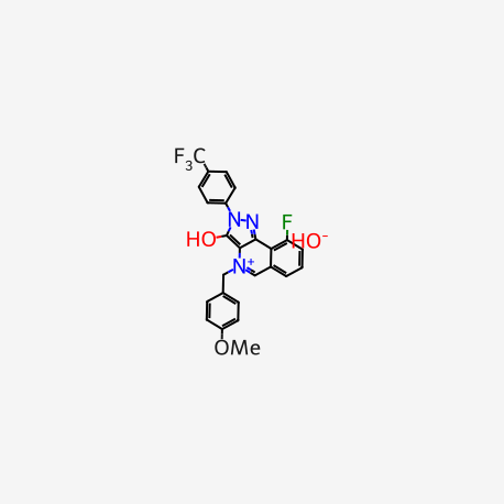 COc1ccc(C[n+]2cc3cccc(F)c3c3nn(-c4ccc(C(F)(F)F)cc4)c(O)c32)cc1.[OH-]